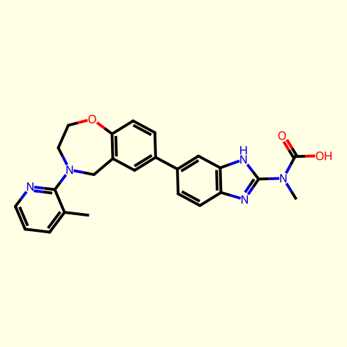 Cc1cccnc1N1CCOc2ccc(-c3ccc4nc(N(C)C(=O)O)[nH]c4c3)cc2C1